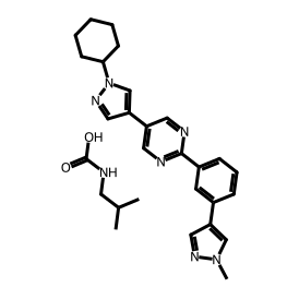 CC(C)CNC(=O)O.Cn1cc(-c2cccc(-c3ncc(-c4cnn(C5CCCCC5)c4)cn3)c2)cn1